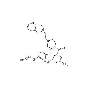 CSc1cc(C(=O)N2CCN(CCN3CCc4ncccc4C3)C[C@H]2Cc2ccc(Cl)cc2)cc(C(F)(F)F)c1.Cl.Cl.Cl